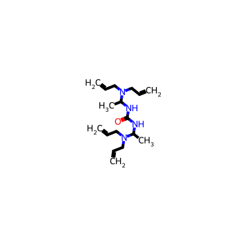 C=CCN(CC=C)C(C)NC(=O)NC(C)N(CC=C)CC=C